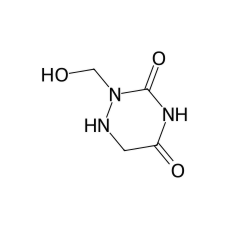 O=C1CNN(CO)C(=O)N1